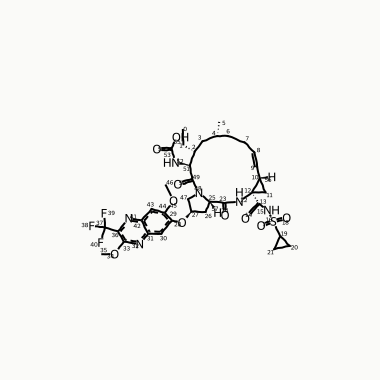 CC[C@@H]1C[C@H](C)CCC=C[C@@H]2C[C@@]2(C(=O)NS(=O)(=O)C2CC2)NC(=O)[C@@H]2C[C@@H](Oc3cc4nc(OC)c(C(F)(F)F)nc4cc3OC)CN2C(=O)[C@H]1NC(=O)O